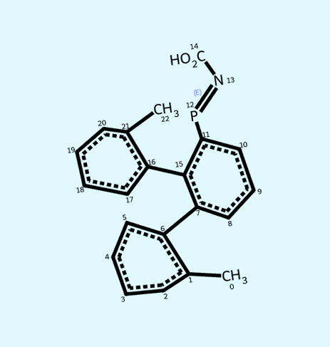 Cc1ccccc1-c1cccc(/P=N/C(=O)O)c1-c1ccccc1C